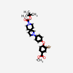 COC(=O)c1ccc(Oc2ccc(N3CCC4(CCN(C(=O)OC(C)(C)C)CC4)C3)cc2)c(Br)c1